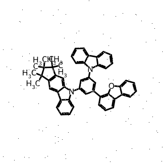 CC1(C)c2cc3c4ccccc4n(-c4cc(-c5cccc6c5oc5ccccc56)cc(-n5c6ccccc6c6ccccc65)c4)c3cc2C(C)(C)C1(C)C